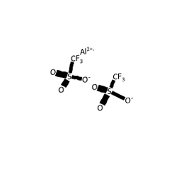 O=S(=O)([O-])C(F)(F)F.O=S(=O)([O-])C(F)(F)F.[Al+2]